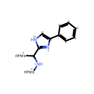 CCCCCCNC(CCCCCC)c1nc(-c2ccccc2)c[nH]1